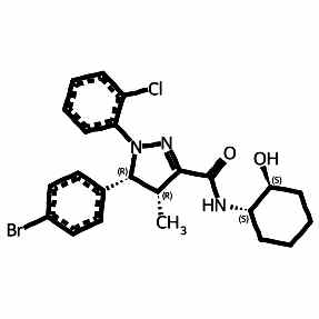 C[C@H]1C(C(=O)N[C@H]2CCCC[C@@H]2O)=NN(c2ccccc2Cl)[C@H]1c1ccc(Br)cc1